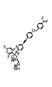 N=N/N=C\NCC(O)(C1=C(F)CC(F)C=C1)C(F)(F)c1ccc(C#Cc2ccc(OCc3ccc(C(F)F)cc3)cc2)cn1